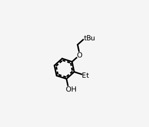 CCc1c(O)cccc1OCC(C)(C)C